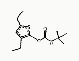 CCc1cc(CC)c(OC(=O)NC(C)(C)C)s1